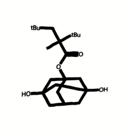 CC(C)(C)CC(C)(C(=O)OC12CC3CC(O)(CC(O)(C3)C1)C2)C(C)(C)C